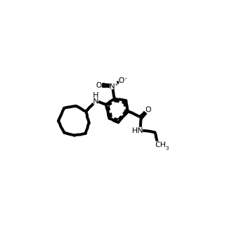 CCNC(=O)c1ccc(NC2CCCCCCC2)c([N+](=O)[O-])c1